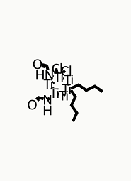 CCC[CH2][Ti]1([CH2]CCC)[Ti][Ti]([NH]C=O)[Ti][Ti]([Cl])([Cl])([NH]C=O)[Ti]1